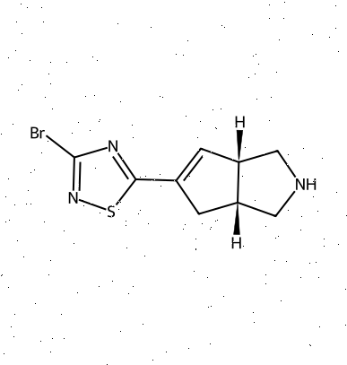 Brc1nsc(C2=C[C@@H]3CNC[C@@H]3C2)n1